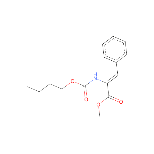 CCCCOC(=O)NC(=Cc1ccccc1)C(=O)OC